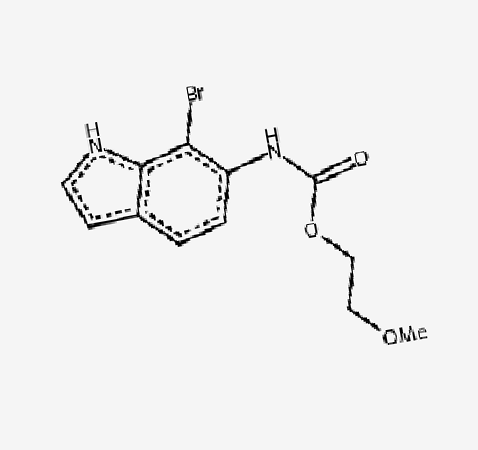 COCCOC(=O)Nc1ccc2cc[nH]c2c1Br